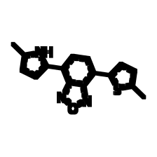 Cc1ccc(-c2ccc(-c3ccc(C)s3)c3nonc23)[nH]1